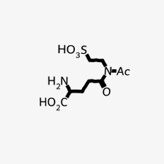 CC(=O)N(CCS(=O)(=O)O)C(=O)CCC(N)C(=O)O